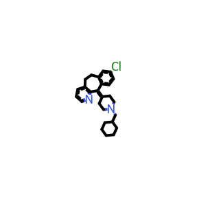 Clc1ccc2c(c1)CCc1cccnc1C2=C1CCN(CC2CCCCC2)CC1